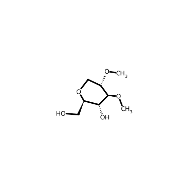 CO[C@H]1[C@H](O)[C@@H](CO)OC[C@@H]1OC